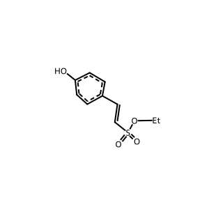 CCOS(=O)(=O)C=Cc1ccc(O)cc1